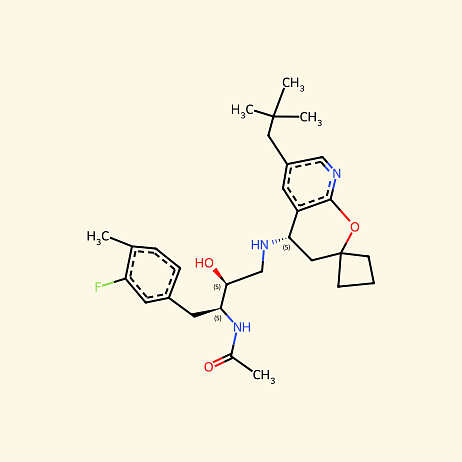 CC(=O)N[C@@H](Cc1ccc(C)c(F)c1)[C@@H](O)CN[C@H]1CC2(CCC2)Oc2ncc(CC(C)(C)C)cc21